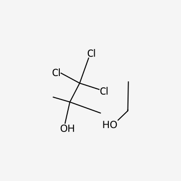 CC(C)(O)C(Cl)(Cl)Cl.CCO